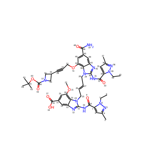 CCn1nc(C)cc1C(=O)Nc1nc2cc(C(=O)O)cc(OC)c2n1C/C=C/Cn1c(NC(=O)c2cc(C)nn2CC)nc2cc(C(N)=O)cc(OCC#CC3CN(C(=O)OC(C)(C)C)C3)c21